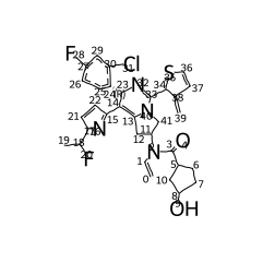 C=CN(C(=O)C1CCC(O)C1)C1CC2=C(C3=NC(C(C)F)C=C3)[C@H](c3ccc(F)cc3Cl)N=C(C3SC=CC3=C)N2C1